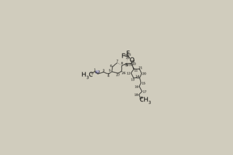 C/C=C/CC[C@H]1CC[C@H]([C@H]2[C@H](C3CCC(CCCCC)CC3)OC2(F)F)CC1